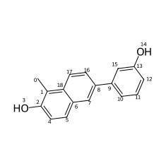 Cc1c(O)ccc2cc(-c3cccc(O)c3)ccc12